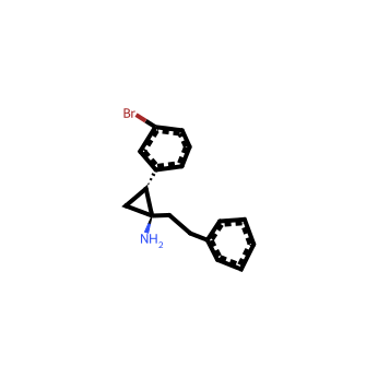 N[C@@]1(CCc2ccccc2)C[C@@H]1c1cccc(Br)c1